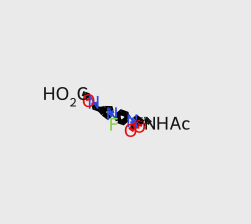 CC(=O)NC[C@H]1CN(c2ccc(N3CC4C(C=NOCC(=O)O)C4C3)c(F)c2)C(=O)O1